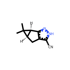 CC1(C)[C@@H]2Cc3c(n[nH]c3C#N)[C@@H]21